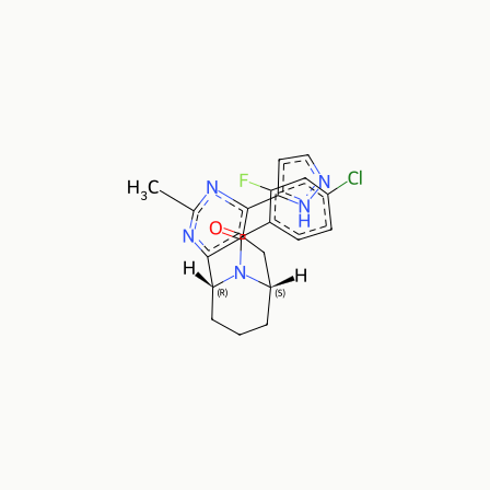 Cc1nc(-c2ccn[nH]2)c2c(n1)[C@H]1CCC[C@@H](C2)N1C(=O)c1ccc(Cl)cc1F